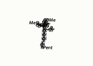 C=C(C)C(=O)OCCCc1cc(-c2ccc(-c3ccc(CCC4CCC(CCCCC)CC4)cc3)cc2)ccc1OCC(COC(=O)CC(=O)OC)(COC(=O)CC(=O)OC)COC(=O)C(=C)C